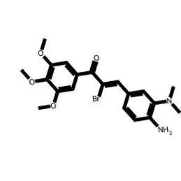 COc1cc(C(=O)C(Br)=Cc2ccc(N)c(N(C)C)c2)cc(OC)c1OC